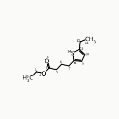 CCOC(=O)CCCc1ccc(CC)s1